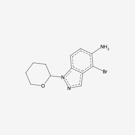 Nc1ccc2c(cnn2C2CCCCO2)c1Br